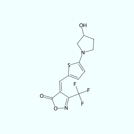 O=C1ON=C(C(F)(F)F)C1=Cc1ccc(N2CCC(O)C2)s1